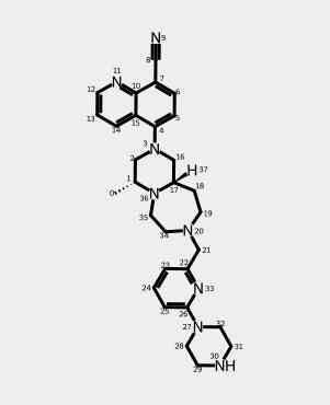 C[C@@H]1CN(c2ccc(C#N)c3ncccc23)C[C@@H]2CCN(Cc3cccc(N4CCNCC4)n3)CCN21